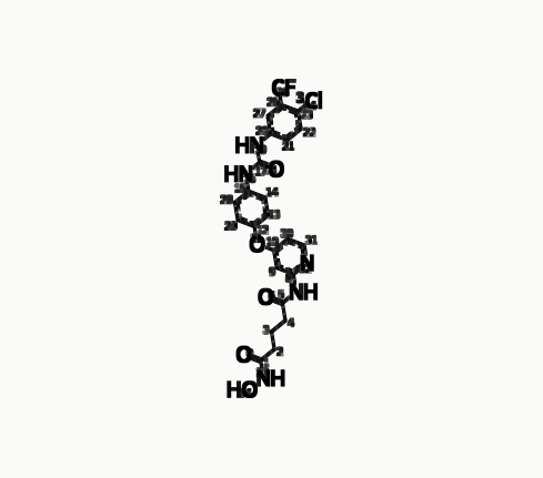 O=C(CCCC(=O)Nc1cc(Oc2ccc(NC(=O)Nc3ccc(Cl)c(C(F)(F)F)c3)cc2)ccn1)NO